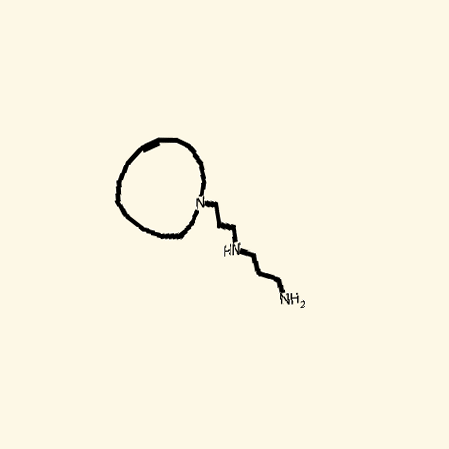 NCCCNCCCN1CCCCC=CCCCCCCCC1